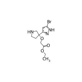 CCOC(=O)COC1(c2cc(Br)[nH]n2)CCNC1